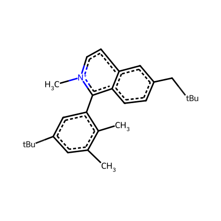 Cc1cc(C(C)(C)C)cc(-c2c3ccc(CC(C)(C)C)cc3cc[n+]2C)c1C